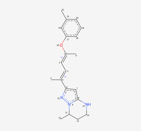 C/C(=C\C=C(/C)c1cc2n(n1)C(C)CCN2)Oc1cccc(C)c1